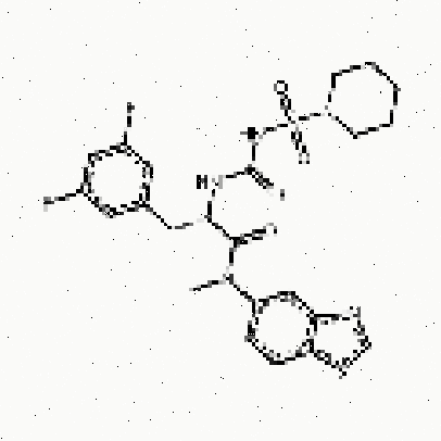 CN(C(=O)[C@H](Cc1cc(F)cc(F)c1)NC(=O)NS(=O)(=O)N1CCCCC1)c1ccc2scnc2c1